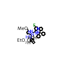 CCOC(=O)[C@H]1[C@H](Nc2nc(-c3nn(C(c4ccccc4)(c4ccccc4)c4ccccc4)c4ncc(F)cc34)nn3c(COC)ccc23)[C@@H]2CC[C@H]1C1CCC12